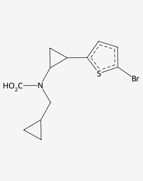 O=C(O)N(CC1CC1)C1CC1c1ccc(Br)s1